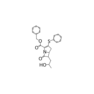 CC(O)CC1C(=O)N2C(C(=O)OCc3ccccc3)=C(Sc3ccccc3)CC12